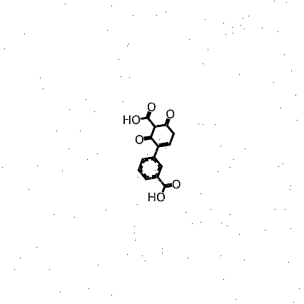 O=C(O)c1cccc(C2=CCC(=O)C(C(=O)O)C2=O)c1